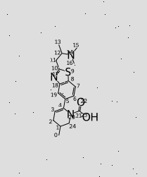 CC1CC=C(c2ccc3sc(CC(C)N(C)C)nc3c2)N(C(=O)O)C1